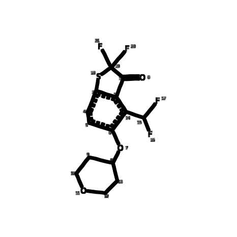 O=C1c2c(ccc(OC3CCOCC3)c2C(F)F)SC1(F)F